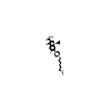 [N-]=[N+]=NCCCCCN1CCN(c2cc3c(cc2F)c(=O)c(C(=O)O)cn3C2CC2)CC1